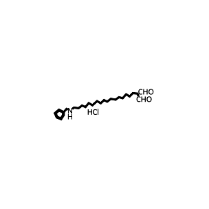 Cl.O=CC(C=O)CCCCCCCCCCCCCCCCCNCc1ccccc1